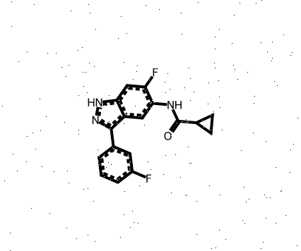 O=C(Nc1cc2c(-c3cccc(F)c3)n[nH]c2cc1F)C1CC1